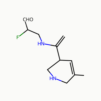 C=C(NCC(F)C=O)C1C=C(C)CNC1